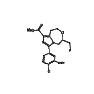 COC(=O)c1nc(-c2ccc(Cl)c(OC)c2)n2c1CCOC(CF)C2